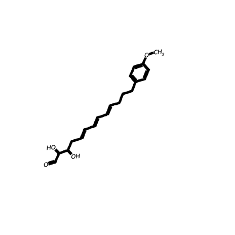 COc1ccc(CCCC=CC=CC=CCC(O)C(O)C=O)cc1